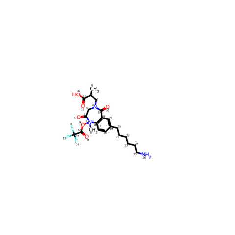 CC(CN1CC(=O)[N+](C)(OC(=O)C(F)(F)F)c2ccc(CCCCCCN)cc2C1=O)C(=O)O